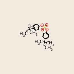 CCC(C)(C)c1ccc(OS(=O)(=O)Oc2ccc(C(C)(C)CC)cc2)cc1